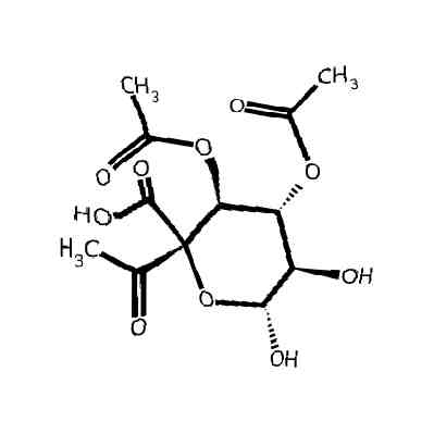 CC(=O)O[C@@H]1[C@@H](O)[C@H](O)O[C@](C(C)=O)(C(=O)O)[C@H]1OC(C)=O